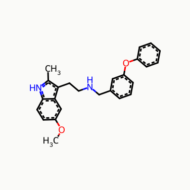 COc1ccc2[nH]c(C)c(CCNCc3cccc(Oc4ccccc4)c3)c2c1